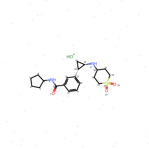 Cl.O=C(NC1CCCC1)c1cccc([C@@H]2C[C@H]2NC2CCS(=O)(=O)CC2)c1